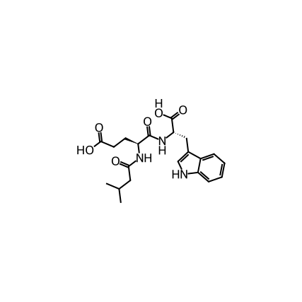 CC(C)CC(=O)N[C@@H](CCC(=O)O)C(=O)N[C@@H](Cc1c[nH]c2ccccc12)C(=O)O